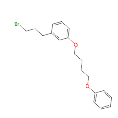 BrCCCc1cccc(OCCCCOc2ccccc2)c1